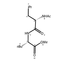 CCCC[C@H](NC(=O)[C@H](CC(C)C)NC(C)=O)C(=O)OC